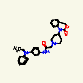 CCN(c1ccccc1)c1ccc(NC(=O)CN2CCC(N3C(=O)OCc4ccccc43)CC2)cc1